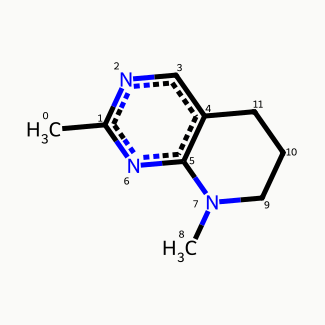 Cc1ncc2c(n1)N(C)CCC2